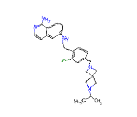 CC(C)N1CC2(CN(Cc3ccc(CNc4ccc5c(N)nccc5c4)c(F)c3)C2)C1